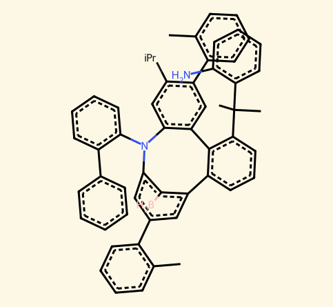 Bc1c2cc(-c3ccccc3C)cc1N(c1ccccc1-c1ccccc1)c1cc(C(C)C)c(-c3ccccc3C)cc1-c1c-2cccc1C(C)(C)c1ccccc1N